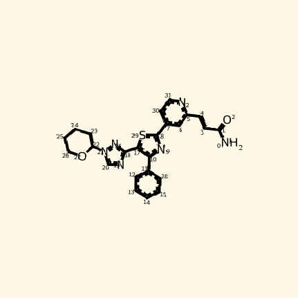 NC(=O)C=Cc1cc(-c2nc(-c3ccccc3)c(-c3ncn(C4CCCCO4)n3)s2)ccn1